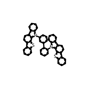 c1cc(-c2ccccc2-n2c3ccccc3c3ccc4c5ccccc5sc4c32)cc(-n2c3ccccc3c3ccc4c5ccccc5sc4c32)c1